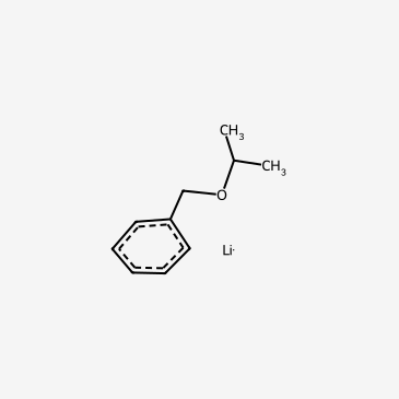 CC(C)OCc1ccccc1.[Li]